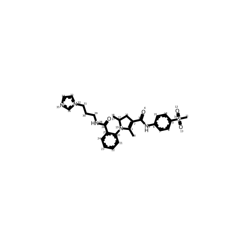 CC1=C(C(=O)Nc2ccc(S(C)(=O)=O)cc2)CC(C)N1c1ccccc1C(=O)NCCCn1ccnc1